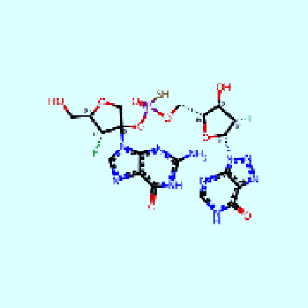 Nc1nc2c(ncn2[C@@]2(OP(=O)(S)OC[C@H]3O[C@@H](n4nnc5c(=O)[nH]cnc54)[C@@H](F)[C@@H]3O)CO[C@H](CO)[C@H]2F)c(=O)[nH]1